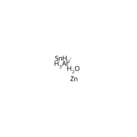 O.[AlH3].[SnH2].[Zn]